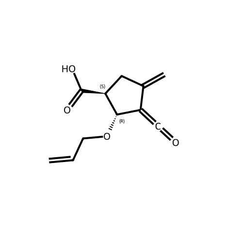 C=CCO[C@H]1C(=C=O)C(=C)C[C@@H]1C(=O)O